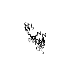 CCNc1nc(Nc2cc(C#N)cc(CCCN3CCN(C)CC3)c2Cl)nn2c(C#N)cnc12